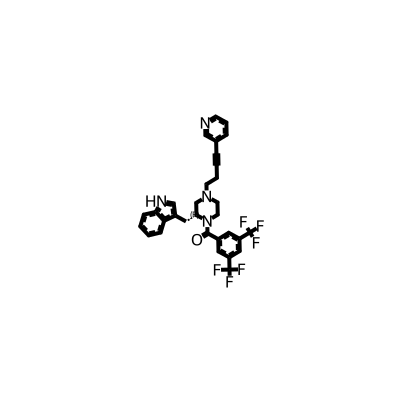 O=C(c1cc(C(F)(F)F)cc(C(F)(F)F)c1)N1CCN(CCC#Cc2cccnc2)C[C@H]1Cc1c[nH]c2ccccc12